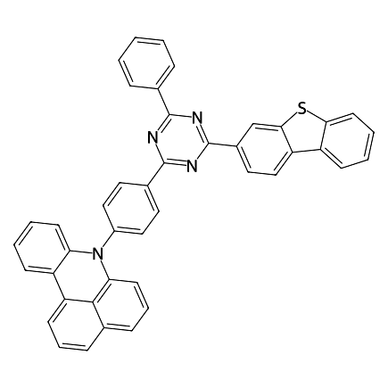 c1ccc(-c2nc(-c3ccc(N4c5ccccc5-c5cccc6cccc4c56)cc3)nc(-c3ccc4c(c3)sc3ccccc34)n2)cc1